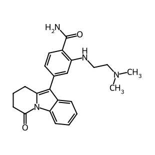 CN(C)CCNc1cc(-c2c3n(c4ccccc24)C(=O)CCC3)ccc1C(N)=O